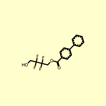 O=C(OCC(F)(F)C(F)(F)CO)c1ccc(-c2ccccc2)cc1